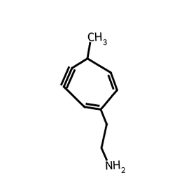 CC1C#CC=C(CCN)C=C1